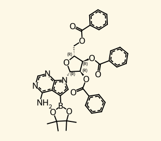 CC1(C)OB(c2cn([C@@H]3O[C@H](COC(=O)c4ccccc4)[C@@H](OC(=O)c4ccccc4)[C@H]3OC(=O)c3ccccc3)c3ncnc(N)c23)OC1(C)C